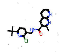 Cc1nc2ncccc2cc1C(=O)NCc1ccc(C(C)(C)C)nc1Cl